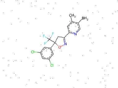 Bc1cnc(C2=NOC(c3cc(Cl)cc(Cl)c3)(C(F)(F)F)C2)cc1C